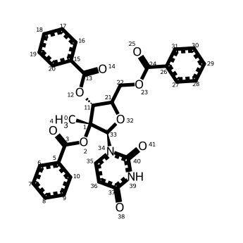 C[C@@]1(OC(=O)c2ccccc2)[C@H](OC(=O)c2ccccc2)C(COC(=O)c2ccccc2)O[C@H]1n1ccc(=O)[nH]c1=O